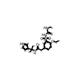 CCOc1ccc(CC(=O)NC(C)(C)c2cc[nH]c2)cc1S(=O)(=O)NC(=S)NC